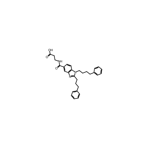 O=C(O)CCNC(=O)c1ccc2c(c1)nc(CCCc1ccccc1)n2CCCCc1ccccc1